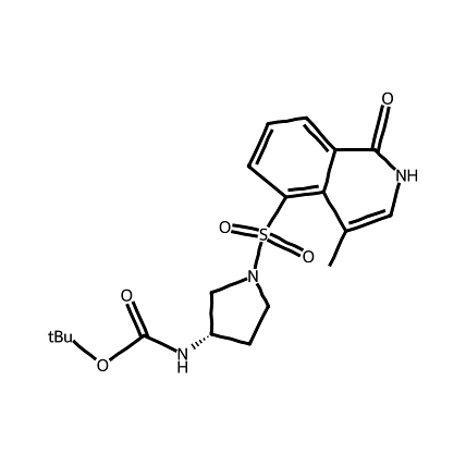 Cc1c[nH]c(=O)c2cccc(S(=O)(=O)N3CC[C@H](NC(=O)OC(C)(C)C)C3)c12